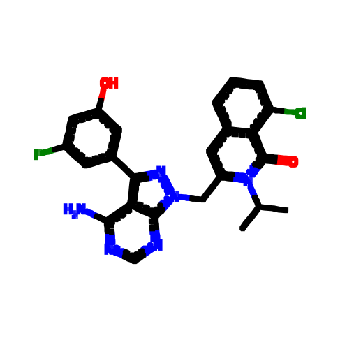 CC(C)n1c(Cn2nc(-c3cc(O)cc(F)c3)c3c(N)ncnc32)cc2cccc(Cl)c2c1=O